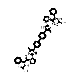 Cc1nc([C@@H]2CCCN2C(=O)[C@H](NC(=O)O)c2ccccc2)[nH]c1-c1ccc(-c2ccc(-c3[nH]c([C@@H]4CCCN4C(=O)[C@H](NC(=O)O)c4ccccc4)nc3C)cc2)cc1